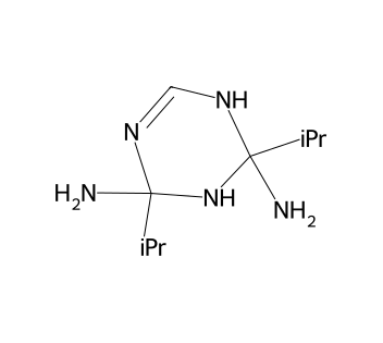 CC(C)C1(N)N=CNC(N)(C(C)C)N1